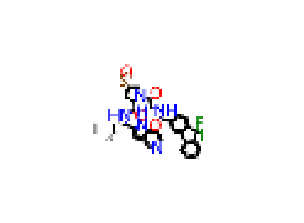 C[C@@H](NC(=O)[C@@H]1C[C@@H]([S+]=O)CN1C(=O)CNC(=O)c1ccc2c(c1)-c1ccccc1C2(F)F)c1cc2cnccc2[nH]1